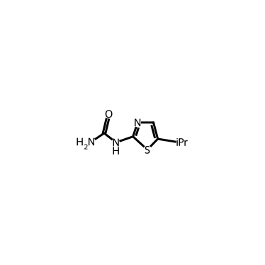 CC(C)c1cnc(NC(N)=O)s1